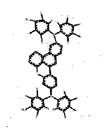 CC(C)(C)c1c(F)c(F)c(B(c2ccc3c(c2)Sc2cccc4c2c-3cc2ccc(B(c3c(F)c(F)c(F)c(F)c3F)c3c(F)c(F)c(C(C)(C)C)c(F)c3F)cc24)c2c(F)c(F)c(F)c(F)c2F)c(F)c1F